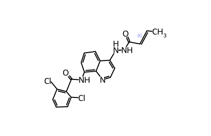 C/C=C/C(=O)NNc1ccnc2c(NC(=O)c3c(Cl)cccc3Cl)cccc12